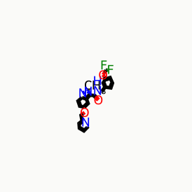 Cn1nc2ccc(OCc3ccccn3)cc2c1C(=O)NCc1cccc(OC(F)F)c1